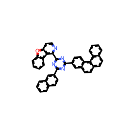 c1ccc2cc(-c3nc(-c4ccc5c(ccc6ccc7ccccc7c65)c4)nc(-c4nccc5oc6ccccc6c45)n3)ccc2c1